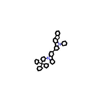 c1ccc(-n2c3ccc(-c4ccc5c(c4)c4ccccc4n5-c4cccc(C(c5ccccc5)(c5ccccc5)c5ccccc5)c4)cc3c3ccc4c(c32)Cc2ccccc2-4)cc1